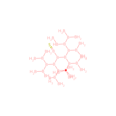 BBB(B(B)B)B(B(B)B)B(B(B=S)B(B(B(B)B)B(B)B)B(B(B)B)B(B)B)B(B(B)B)B(B)B